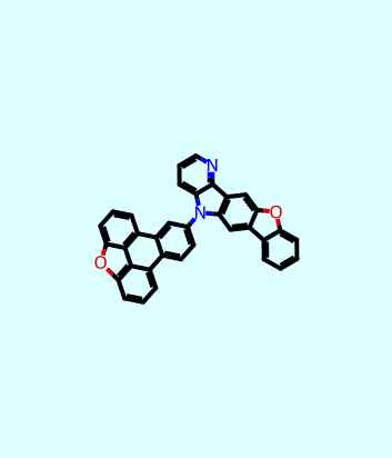 c1ccc2c(c1)oc1cc3c4ncccc4n(-c4ccc5c(c4)c4cccc6oc7cccc5c7c64)c3cc12